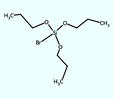 CCCO[Si](Br)(OCCC)OCCC